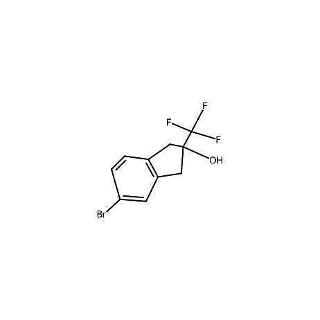 OC1(C(F)(F)F)Cc2ccc(Br)cc2C1